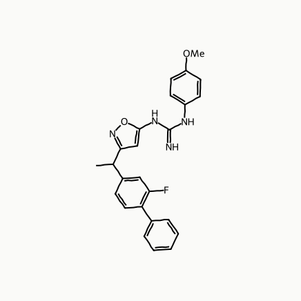 COc1ccc(NC(=N)Nc2cc(C(C)c3ccc(-c4ccccc4)c(F)c3)no2)cc1